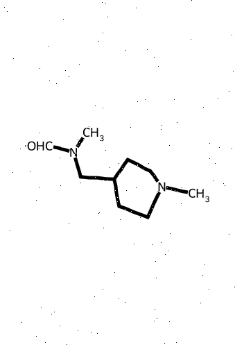 CN([C]=O)CC1CCN(C)CC1